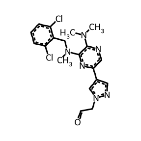 CN(C)c1ncc(-c2cnn(CC=O)c2)nc1N(C)Cc1c(Cl)cccc1Cl